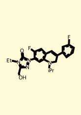 CCn1c(CO)nn(-c2cc3c(cc2F)C=C(c2cccc(F)c2)CN3C(C)C)c1=O